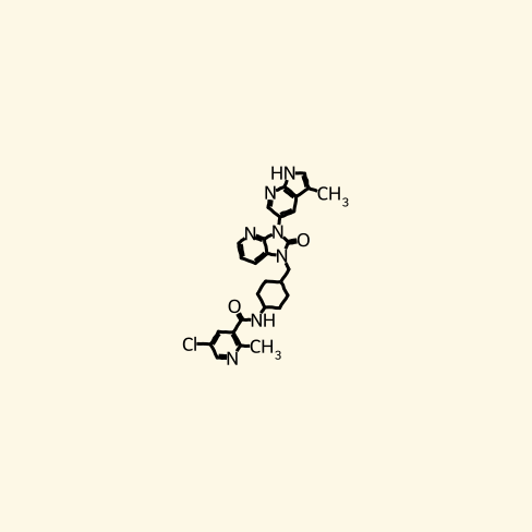 Cc1ncc(Cl)cc1C(=O)NC1CCC(Cn2c(=O)n(-c3cnc4[nH]cc(C)c4c3)c3ncccc32)CC1